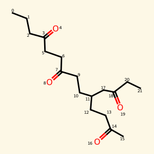 CCCC(=O)CCC(=O)CCC(CCC(C)=O)CC(=O)CC